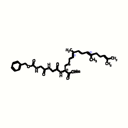 COC(=O)[C@H](CSC/C=C(\C)CC/C=C(\C)CCC=C(C)C)NC(=O)CNC(=O)CNC(=O)OCc1ccccc1